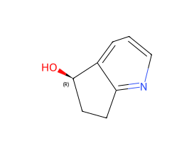 O[C@@H]1CCc2ncccc21